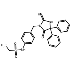 CCS(=O)(=O)Nc1ccc(CN2C(=N)NC(c3ccccc3)(c3ccccc3)C2=O)cc1